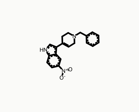 O=[N+]([O-])c1ccc2[nH]cc(C3=CCN(Cc4ccccc4)CC3)c2c1